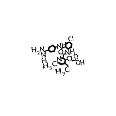 CCc1cc(C)nc(CNc2ccc(Cl)cc2C(=O)Nc2ccc(C(=N)N)cc2)c1OCC(=O)O